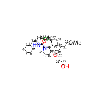 CNC[C@H](CC1CCCCC1)NC(=O)N1CCC[C@@H](C(CCCCOC)(OCCCO)c2cccc(Cl)c2)C1